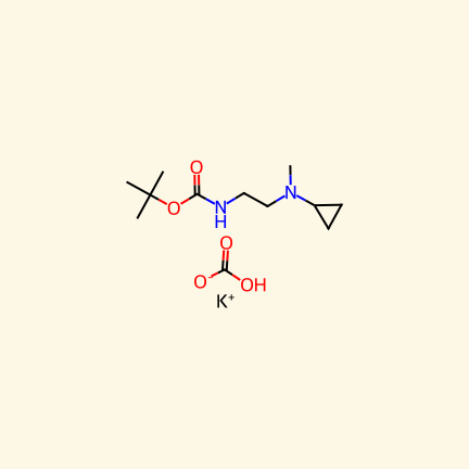 CN(CCNC(=O)OC(C)(C)C)C1CC1.O=C([O-])O.[K+]